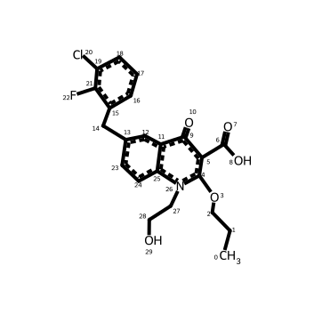 CCCOc1c(C(=O)O)c(=O)c2cc(Cc3cccc(Cl)c3F)ccc2n1CCO